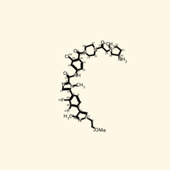 COCCn1cc(-c2ccc(-c3cnc(C(=O)Nc4ccc(C(=O)N5CCN(C(=O)C[N+]6(C)CC[C@@H](N)C6)CC5)c(Cl)c4)n3C)c(F)c2F)c(C)n1